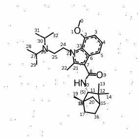 COc1cccc2c(C(=O)N[C@@H]3C(C)(C)C4CC[C@@]3(C)C4)c(C)n(CCN(C(C)C)C(C)C)c12